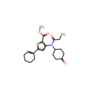 CCC(=O)N(c1cc(C2=CCCCC2)sc1C(=O)OC)C1CCC(=O)CC1